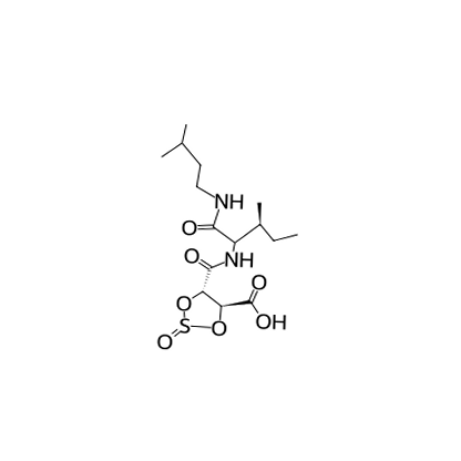 CC[C@H](C)C(NC(=O)[C@H]1OS(=O)O[C@@H]1C(=O)O)C(=O)NCCC(C)C